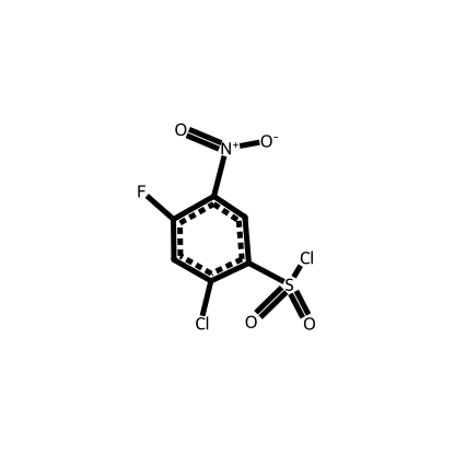 O=[N+]([O-])c1cc(S(=O)(=O)Cl)c(Cl)cc1F